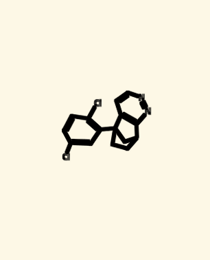 Clc1ccc(Cl)c(C23CCC(C2)c2nnccc23)c1